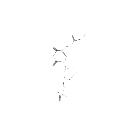 COC(=O)COc1cn([C@@H](O)O[C@H](COP(=O)(Cl)Cl)[C@@H](C)O)c(=O)[nH]c1=O